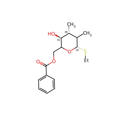 CCS[C@@H]1OC(COC(=O)c2ccccc2)[C@@H](O)[C@H](C)C1C